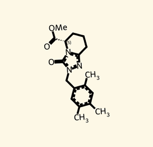 COC(=O)[C@@H]1CCCc2nn(Cc3cc(C)c(C)cc3C)c(=O)n21